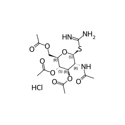 CC(=O)N[C@@H]1[C@@H](OC(C)=O)[C@H](OC(C)=O)[C@@H](COC(C)=O)O[C@H]1SC(=N)N.Cl